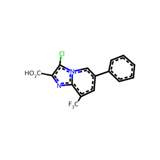 O=C(O)c1nc2c(C(F)(F)F)cc(-c3ccccc3)cn2c1Cl